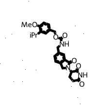 COc1ccc(COC(=O)NCc2ccc3c(c2)C(=O)N(C2CCC(=O)NC2=O)C3)cc1C(C)C